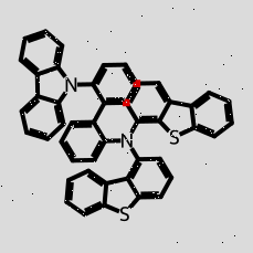 c1ccc(N(c2cccc3c2sc2ccccc23)c2cccc3sc4ccccc4c23)c(-c2ccccc2-n2c3ccccc3c3ccccc32)c1